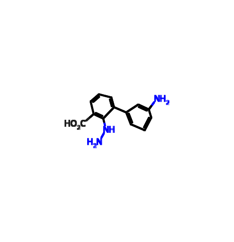 NNc1c(C(=O)O)cccc1-c1cccc(N)c1